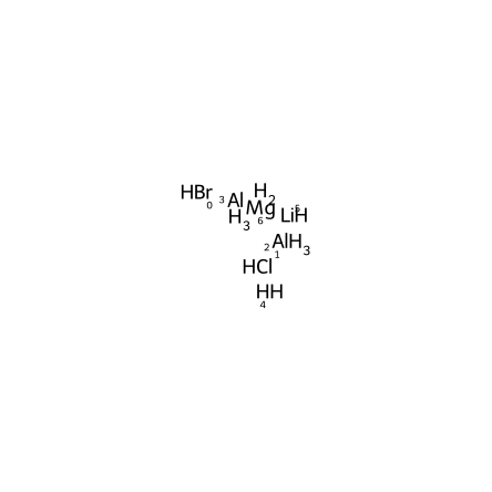 Br.Cl.[AlH3].[AlH3].[HH].[LiH].[MgH2]